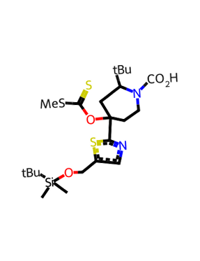 CSC(=S)OC1(c2ncc(CO[Si](C)(C)C(C)(C)C)s2)CCN(C(=O)O)C(C(C)(C)C)C1